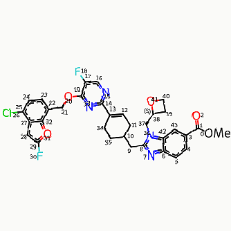 COC(=O)c1ccc2nc(CC3CC=C(c4ncc(F)c(OCc5ccc(Cl)c6cc(F)oc56)n4)CC3)n(C[C@@H]3CCO3)c2c1